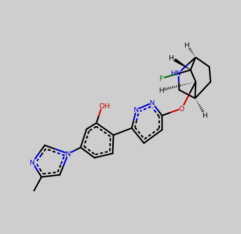 Cc1cn(-c2ccc(-c3ccc(O[C@@H]4[C@H]5CC[C@H](NC5)[C@H]4F)nn3)c(O)c2)cn1